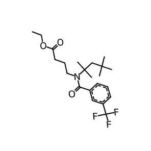 CCOC(=O)CCCN(C(=O)c1cccc(C(F)(F)F)c1)C(C)(C)CC(C)(C)C